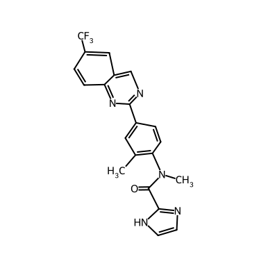 Cc1cc(-c2ncc3cc(C(F)(F)F)ccc3n2)ccc1N(C)C(=O)c1ncc[nH]1